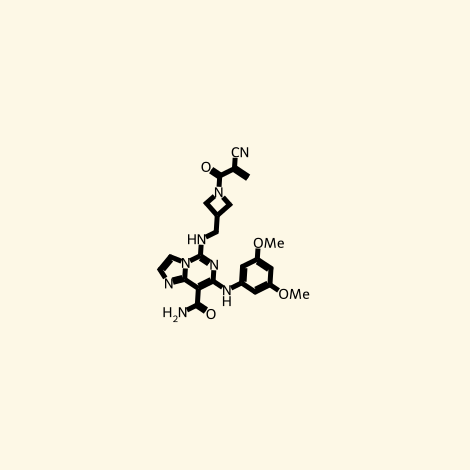 C=C(C#N)C(=O)N1CC(CNc2nc(Nc3cc(OC)cc(OC)c3)c(C(N)=O)c3nccn23)C1